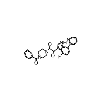 O=C(C(=O)N1CCN(C(=O)c2ccccc2)CC1)c1c[nH]c2c(-c3ccccn3)ccc(F)c12